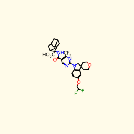 O=C(NC1(C(=O)O)C2CC3CC(C2)CC1C3)c1cnc(N2CC3(CCOCC3)c3cc(OCC(F)F)ccc32)nc1C(F)(F)F